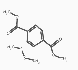 COC(=O)c1ccc(C(=O)OC)cc1.CSSC